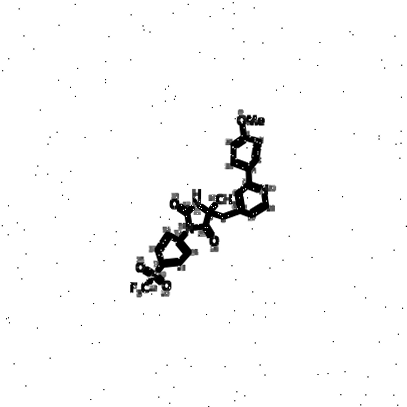 COc1ccc(-c2cc(CC3(C)NC(=O)N(c4ccc(S(=O)(=O)C(F)(F)F)cc4)C3=O)ccn2)cc1